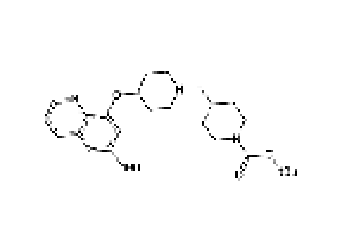 CCCCc1cc(OC2CCN(CC3CCN(C(=O)OC(C)(C)C)CC3)CC2)c2ncccc2c1